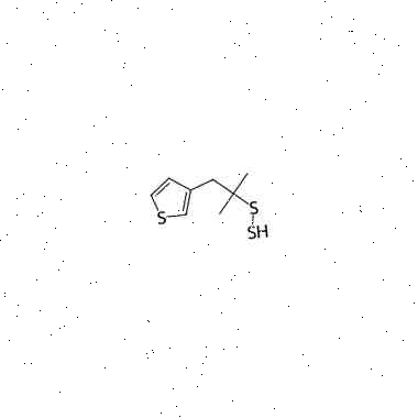 CC(C)(Cc1ccsc1)SS